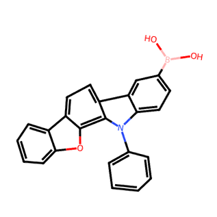 OB(O)c1ccc2c(c1)c1ccc3c4ccccc4oc3c1n2-c1ccccc1